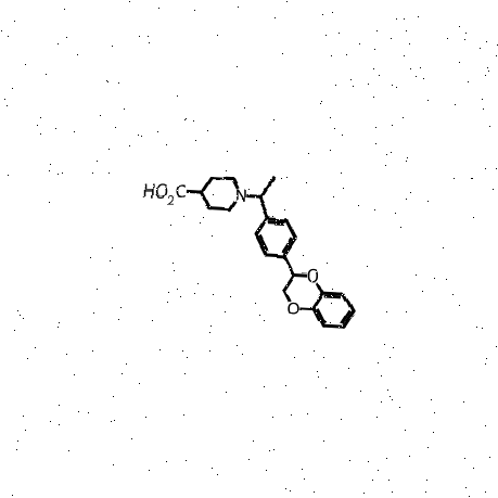 CC(c1ccc(C2COc3ccccc3O2)cc1)N1CCC(C(=O)O)CC1